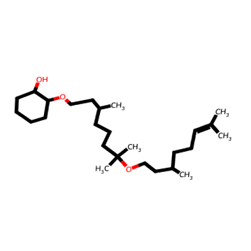 CC(C)=CCCC(C)CCOC(C)(C)CCCC(C)CCOC1CCCCC1O